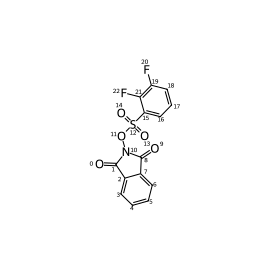 O=C1c2ccccc2C(=O)N1OS(=O)(=O)c1cccc(F)c1F